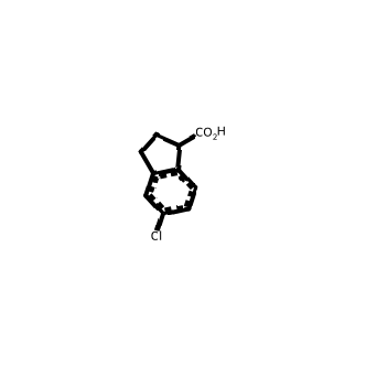 O=C(O)C1CCc2cc(Cl)ccc21